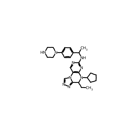 CCC1c2nncn2-c2cnc(NC(C)c3ccc(N4CCNCC4)cc3)nc2N1C1CCCC1